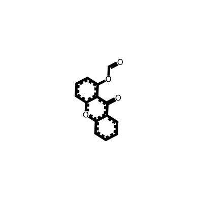 O=COc1cccc2oc3ccccc3c(=O)c12